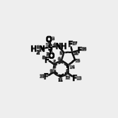 NS(=O)(=O)NC1c2c(F)c(F)cc(F)c2CC1(F)F